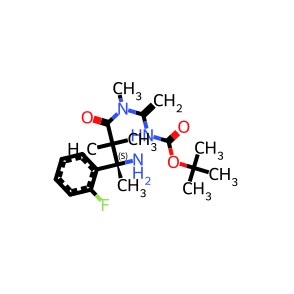 C=C(NC(=O)OC(C)(C)C)N(C)C(=O)C(C)(C)[C@](C)(N)c1ccccc1F